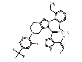 C=C(c1cc[nH]c1/C(Cl)=C\F)c1c2c(nn1-c1c(CC)cccc1CC)CCN(c1ncc(C(F)(F)F)cc1F)C2